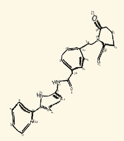 O=C(Nc1nnc(-c2ccccn2)[nH]1)c1ccc(CN2C(=O)CCC2=O)cc1